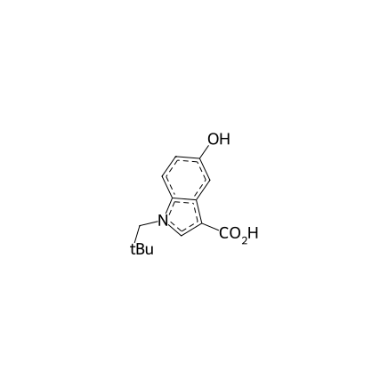 CC(C)(C)Cn1cc(C(=O)O)c2cc(O)ccc21